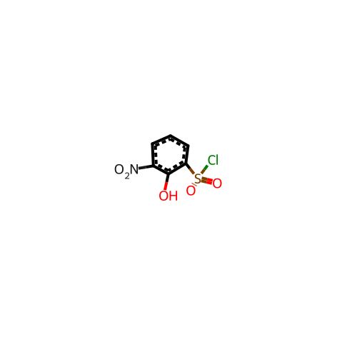 O=[N+]([O-])c1cccc(S(=O)(=O)Cl)c1O